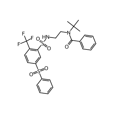 CC(C)(C)N(CCNS(=O)(=O)c1cc(S(=O)(=O)c2ccccc2)ccc1C(F)(F)F)C(=O)c1ccccc1